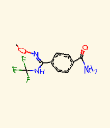 CO/N=C(\NC(F)(F)F)c1ccc(C(N)=O)cc1